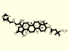 CC(C)C1=C2[C@H]3CC[C@@H]4[C@@]5(C)CC[C@H](OC(=O)CC(C)(C)C(=O)O)C(C)(C)[C@H]5CC[C@@]4(C)[C@]3(C)CCC2(C(O)CNCc2cncs2)CC1=O